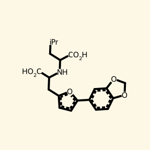 CC(C)CC(NC(Cc1ccc(-c2ccc3c(c2)OCO3)o1)C(=O)O)C(=O)O